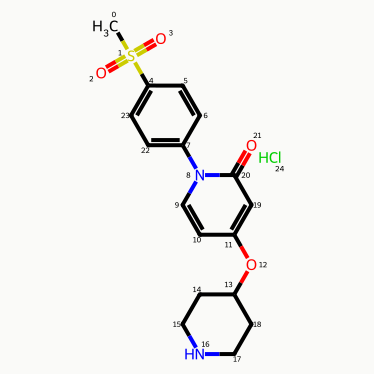 CS(=O)(=O)c1ccc(-n2ccc(OC3CCNCC3)cc2=O)cc1.Cl